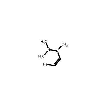 CN(C)N(C)/C=C\S